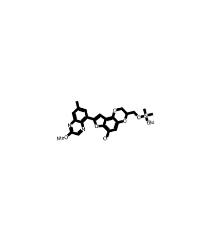 COc1cnc2c(-c3cc4c5c(cc(Cl)c4o3)OC(CO[Si](C)(C)C(C)(C)C)CO5)cc(C)cc2n1